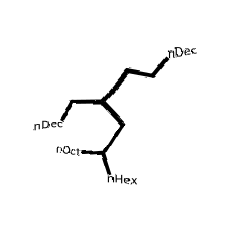 CCCCCCCCCCCC[C](CCCCCCCCCCC)CC(CCCCCC)CCCCCCCC